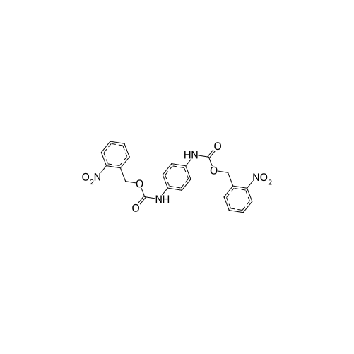 O=C(Nc1ccc(NC(=O)OCc2ccccc2[N+](=O)[O-])cc1)OCc1ccccc1[N+](=O)[O-]